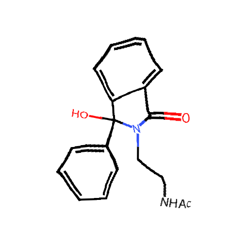 CC(=O)NCCN1C(=O)c2ccccc2C1(O)c1ccccc1